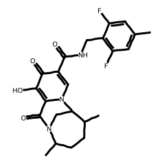 Cc1cc(F)c(CNC(=O)c2cn3c(c(O)c2=O)C(=O)N2CC3C(C)CCC2C)c(F)c1